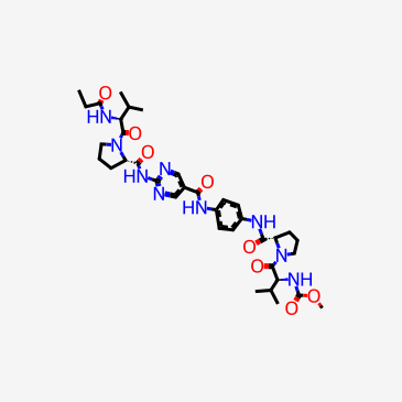 CCC(=O)N[C@H](C(=O)N1CCC[C@H]1C(=O)Nc1ncc(C(=O)Nc2ccc(NC(=O)[C@@H]3CCCN3C(=O)[C@@H](NC(=O)OC)C(C)C)cc2)cn1)C(C)C